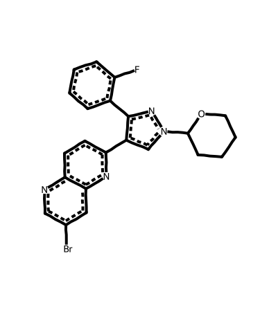 Fc1ccccc1-c1nn(C2CCCCO2)cc1-c1ccc2ncc(Br)cc2n1